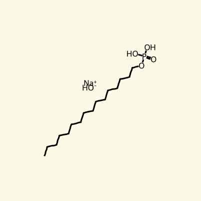 CCCCCCCCCCCCCCCCOP(=O)(O)O.[Na+].[OH-]